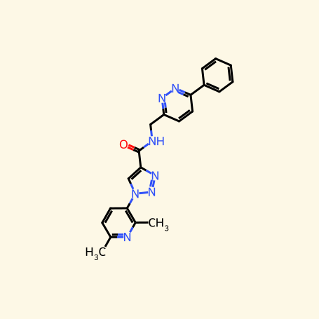 Cc1ccc(-n2cc(C(=O)NCc3ccc(-c4ccccc4)nn3)nn2)c(C)n1